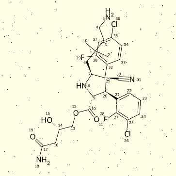 CC(C)(CCN)C[C@@H]1N[C@@H](C(=O)OC[C@@H](O)CC(N)=O)[C@H](c2cccc(Cl)c2F)[C@@]1(C#N)c1ccc(Cl)cc1F